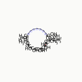 CC1OC(O[C@H]2/C=C/C=C/C=C/C=C/C=C/C=C/C=C/[C@H](C)[C@@H](O)[C@@H](C)[C@H](C)OC(=O)C[C@H](O)C[C@H](O)CC[C@@H](O)[C@H](O)C[C@H](O)C[C@]3(O)CC[C@@H](C(=O)O)C(C2)O3)C(O)C(N)C1C